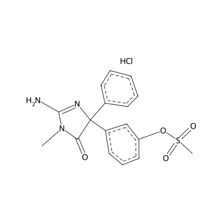 CN1C(=O)C(c2ccccc2)(c2cccc(OS(C)(=O)=O)c2)N=C1N.Cl